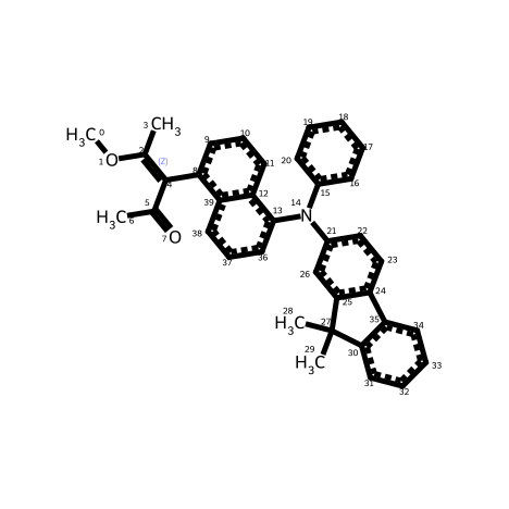 CO/C(C)=C(\C(C)=O)c1cccc2c(N(c3ccccc3)c3ccc4c(c3)C(C)(C)c3ccccc3-4)cccc12